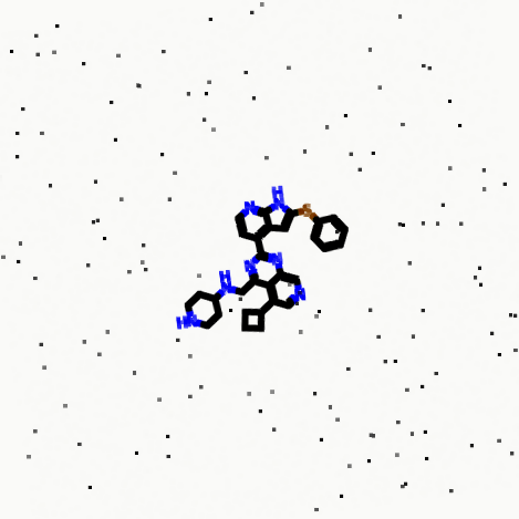 c1ccc(Sc2cc3c(-c4nc(CNC5CCNCC5)c5c(C6CCC6)cncc5n4)ccnc3[nH]2)cc1